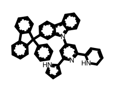 C1=CCNC(c2cc(-n3c4ccccc4c4ccc(C5(c6ccccc6)c6ccccc6-c6ccccc65)cc43)cc(-c3ccc[nH]3)n2)=C1